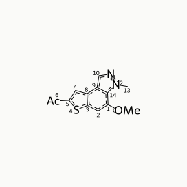 COc1cc2sc(C(C)=O)cc2c2cnn(C)c12